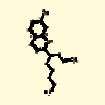 C=CCC(CCCCC)c1ccc2ccc(O)cc2n1